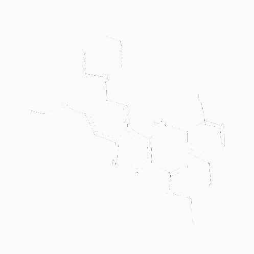 CCOC(=O)c1cnc2cc(OCC)c(N3CCOCC3)cc2c1Nc1cc(C)ccc1F